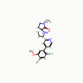 CCOc1cc(-c2ccnc([C@@H]3CC[C@@]4(CCN(C)C4=O)N3)c2)c(F)cc1F